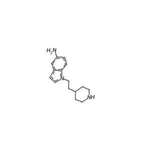 Nc1ccc2c(ccn2CCC2CCNCC2)c1